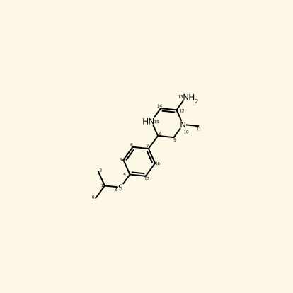 CC(C)Sc1ccc(C2CN(C)C(N)=CN2)cc1